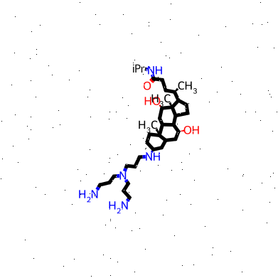 CC(C)NC(=O)CC[C@@H](C)C1CCC2C3C(C[C@H](O)[C@@]21C)[C@@]1(C)CC[C@H](NCCCN(CCCN)CCCN)CC1C[C@H]3O